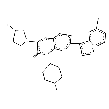 N#Cc1ccn2ncc(-c3ccc4nc(N5CC[C@@H](N)C5)c(=O)n([C@H]5CC[C@H](O)CC5)c4n3)c2c1